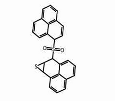 O=S(=O)(C1C=Cc2cccc3cccc1c23)C1c2cccc3cccc(c23)C2SC21